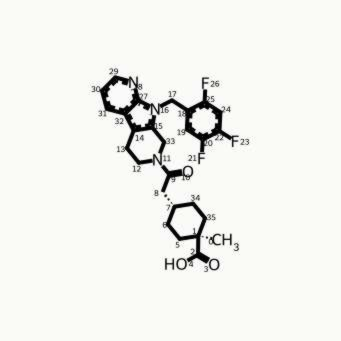 C[C@]1(C(=O)O)CC[C@H](CC(=O)N2CCc3c(n(Cc4cc(F)c(F)cc4F)c4ncccc34)C2)CC1